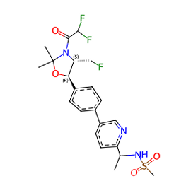 CC(NS(C)(=O)=O)c1ccc(-c2ccc([C@H]3OC(C)(C)N(C(=O)C(F)F)[C@@H]3CF)cc2)cn1